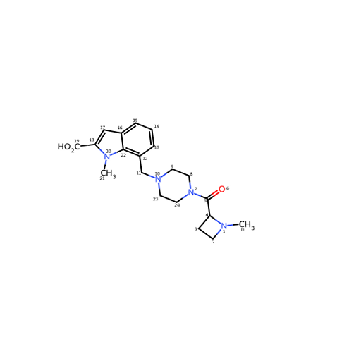 CN1CCC1C(=O)N1CCN(Cc2cccc3cc(C(=O)O)n(C)c23)CC1